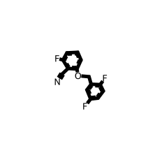 N#Cc1c(F)cccc1OCc1cc(F)ccc1F